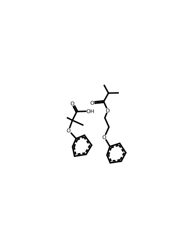 CC(C)(Oc1ccccc1)C(=O)O.CC(C)C(=O)OCCOc1ccccc1